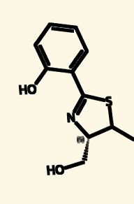 CC1SC(c2ccccc2O)=N[C@H]1CO